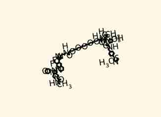 CNC(=O)N1CCc2c(c(N3CCCc4cc(-c5cnn(CCNC(=O)COCCOCCOCCOCCOCC(=O)NC(C(=O)N6C[C@H](O)C[C@H]6C(=O)NCc6ccc(-c7scnc7C)cc6)C(C)(C)C)c5)c(C(F)F)cc43)nn2C2CCOCC2)C1